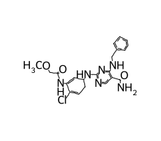 COCC(=O)NC1=CC(Nc2ncc(C(N)=O)c(NCc3ccccc3)n2)CC=C1Cl